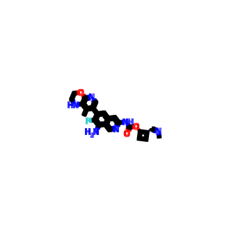 C/N=C\[C@@H]1CC[C@H]1OC(=O)Nc1cc2cc(-c3cnc4c(c3C)NCCO4)c(F)c(N)c2cn1